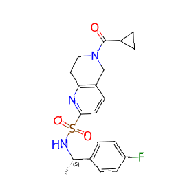 C[C@H](NS(=O)(=O)c1ccc2c(n1)CCN(C(=O)C1CC1)C2)c1ccc(F)cc1